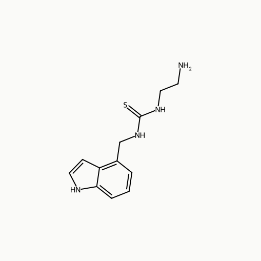 NCCNC(=S)NCc1cccc2[nH]ccc12